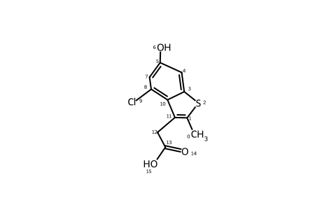 Cc1sc2cc(O)cc(Cl)c2c1CC(=O)O